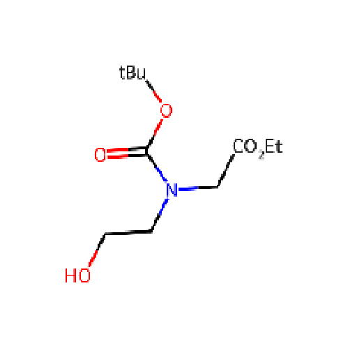 CCOC(=O)CN(CCO)C(=O)OC(C)(C)C